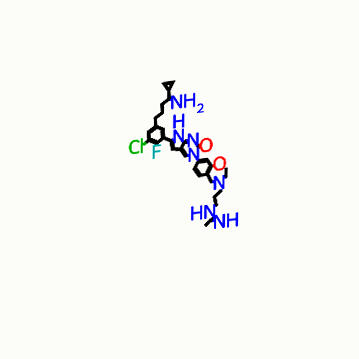 CC(=N)NCCCN1CCOc2cc(-n3cc4cc(-c5cc(CCCC(N)C6CC6)cc(Cl)c5F)[nH]c4nc3=O)ccc2C1